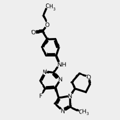 CCOC(=O)c1ccc(Nc2ncc(F)c(-c3cnc(C)n3C3CCOCC3)n2)cc1